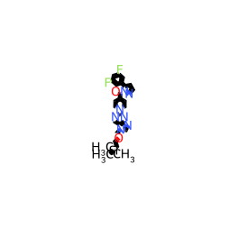 C[Si](C)(C)CCOCn1cnc2nc(N3CCC(C(=O)N4N=CCC4c4cc(F)cc(F)c4)CC3)ncc21